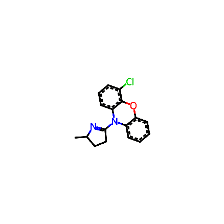 CC1CCC(N2c3ccccc3Oc3c(Cl)cccc32)=N1